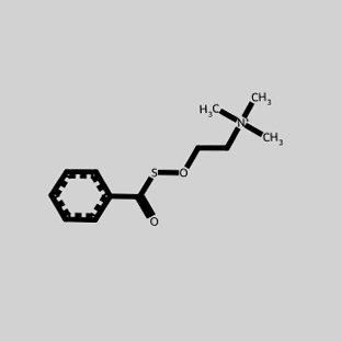 C[N+](C)(C)CCOSC(=O)c1ccccc1